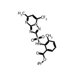 Cc1cc(C(F)(F)F)n2nc(S(=O)(=O)Nc3c(C)cccc3C(=O)OC(C)C)nc2n1